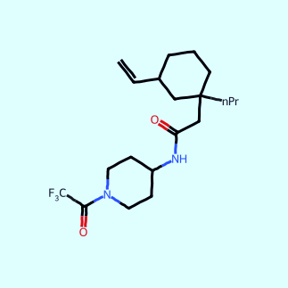 C=CC1CCCC(CCC)(CC(=O)NC2CCN(C(=O)C(F)(F)F)CC2)C1